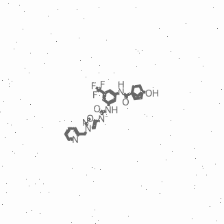 O=C([N-]c1c[n+](Cc2ccccn2)no1)Nc1cc(NC(=O)C23CCC(O)(CC2)C3)cc(C(F)(F)F)c1